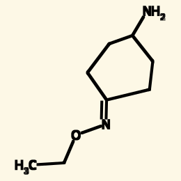 CCON=C1CCC(N)CC1